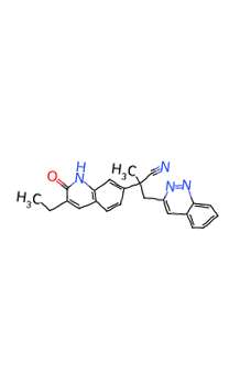 CCc1cc2ccc(C(C)(C#N)Cc3cc4ccccc4nn3)cc2[nH]c1=O